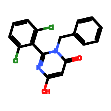 O=c1cc(O)nc(-c2c(Cl)cccc2Cl)n1Cc1ccccc1